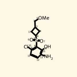 COCC1CC(S(=O)(=O)c2c(Cl)ccc(N)c2O)C1